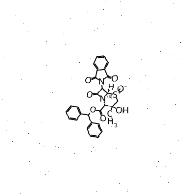 CC1(O)C[S+]([O-])[C@H]2C(N3C(=O)c4ccccc4C3=O)C(=O)N2C1C(=O)OC(c1ccccc1)c1ccccc1